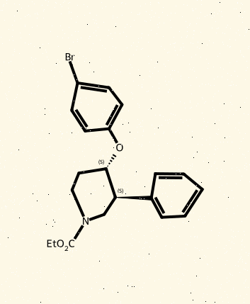 CCOC(=O)N1CC[C@H](Oc2ccc(Br)cc2)[C@@H](c2ccccc2)C1